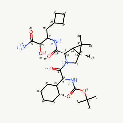 CC(C)(C)OC(=O)N[C@H](C(=O)N1C[C@H]2C([C@H]1C(=O)NC(CC1CCC1)C(O)C(N)=O)C2(C)C)C1CCCCC1